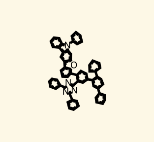 c1ccc(-c2ccc(-c3ccccc3)c(-c3ccc(-c4cccc5c4oc4cc6c(cc45)c4ccccc4n6-c4ccccc4)c(-c4nc(-c5ccccc5)nc(-c5ccccc5)n4)c3)c2)cc1